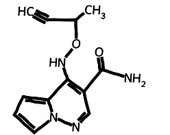 C#CC(C)ONc1c(C(N)=O)cnn2cccc12